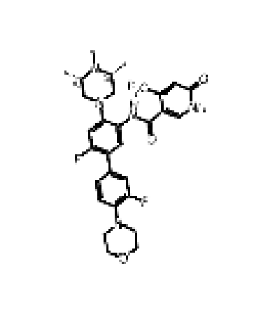 C[C@@H]1CN(c2cc(F)c(-c3ccc(N4CCOCC4)c(F)c3)cc2NC(=O)c2c[nH]c(=O)cc2C(F)(F)F)C[C@H](C)N1C